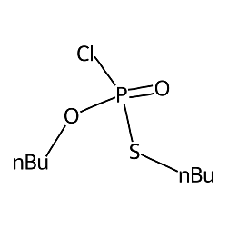 CCCCOP(=O)(Cl)SCCCC